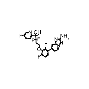 CC(O)(c1ccc(F)cn1)C(F)(F)CCOc1c(F)ccc(-c2ccn3nc(N)nc3c2)c1F